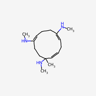 CNC1=CCC=CC(C)(NC)CCC(NC)=CCC1